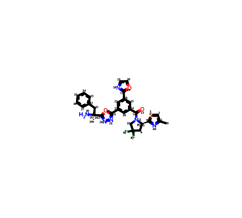 Cc1csc([C@H]2CC(F)(F)CN2C(=O)c2cc(-c3ncco3)cc(-c3nnc([C@@](C)(N)Cc4ccccc4)o3)c2)n1